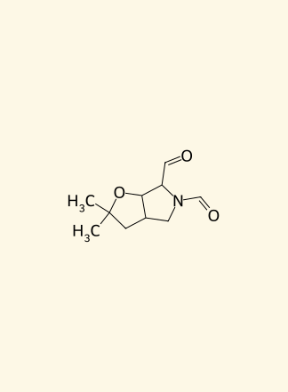 CC1(C)CC2CN(C=O)C(C=O)C2O1